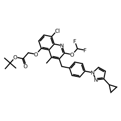 Cc1c(Cc2ccc(-n3ccc(C4CC4)n3)cc2)c(OC(F)F)nc2c(Cl)ccc(OCC(=O)OC(C)(C)C)c12